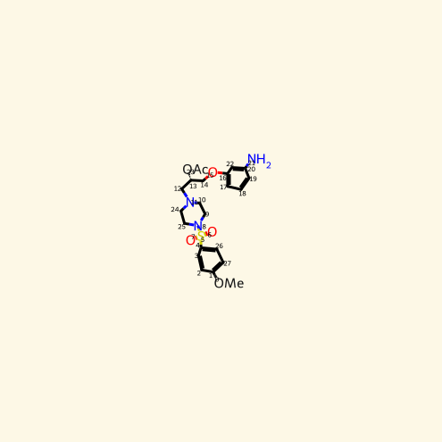 COc1ccc(S(=O)(=O)N2CCN(C[C@@H](COc3cccc(N)c3)OC(C)=O)CC2)cc1